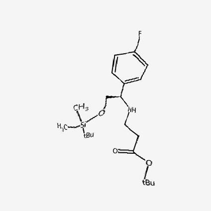 CC(C)(C)OC(=O)CCN[C@@H](CO[Si](C)(C)C(C)(C)C)c1ccc(F)cc1